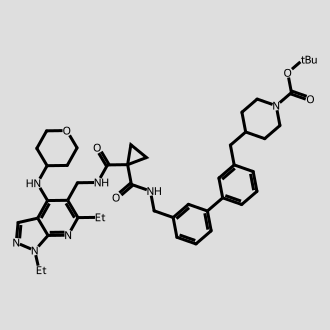 CCc1nc2c(cnn2CC)c(NC2CCOCC2)c1CNC(=O)C1(C(=O)NCc2cccc(-c3cccc(CC4CCN(C(=O)OC(C)(C)C)CC4)c3)c2)CC1